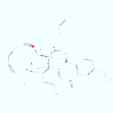 C=CCOC(=O)N1c2c(cc(O)c3c2C(=O)c2ccc(CN)cc2C3=O)[C@@]23O[C@@]2([C@@H](C)O[Si](CC)(CC)CC)[C@@H]1C#C/C=C\C#C[C@H]3O